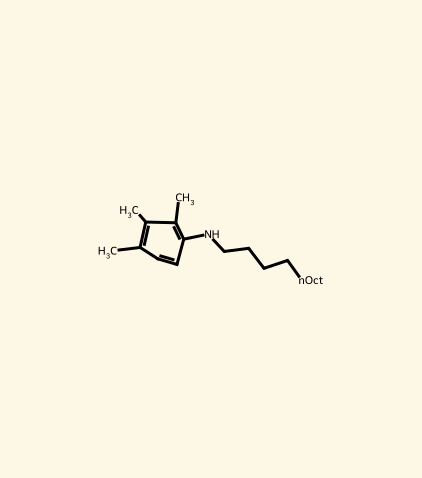 CCCCCCCCCCCCNc1ccc(C)c(C)c1C